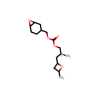 CC1CC(C[C@H](C)COC(=O)OCC2CCC3OC3C2)O1